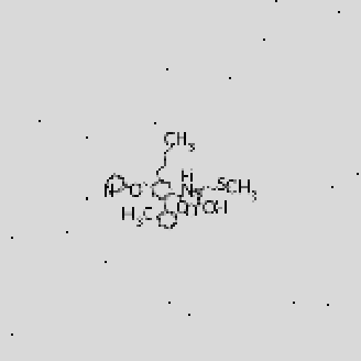 CCCCCc1cc(C(=O)N[C@@H](CCSC)C(=O)O)c(-c2ccccc2C)cc1COc1cccnc1